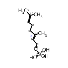 CC(C)=CCC/C(C)=C/CO[Si](O)(O)O